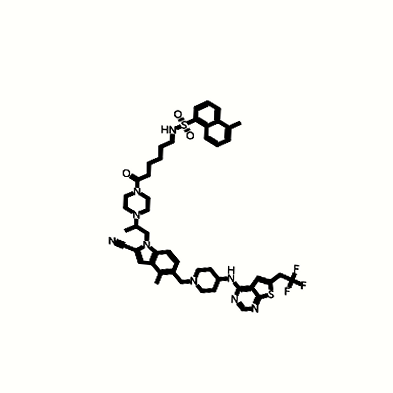 Cc1cccc2c(S(=O)(=O)NCCCCCC(=O)N3CCN(C(C)Cn4c(C#N)cc5c(C)c(CN6CCC(Nc7ncnc8sc(CC(F)(F)F)cc78)CC6)ccc54)CC3)cccc12